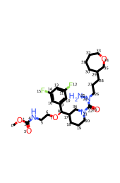 COC(=O)NCCO[C@@H](c1cc(F)cc(F)c1)C1CCCN(C(=O)N(N)CCCC2CCCCOC2)C1